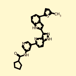 Cc1ccc(-c2cccc3[nH]c(-c4n[nH]c5ccc(-c6cncc(NC(=O)C7CCCC7)c6)nc45)cc23)s1